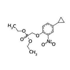 CCOP(=O)(COc1ccc(C2CC2)cc1[N+](=O)[O-])OCC